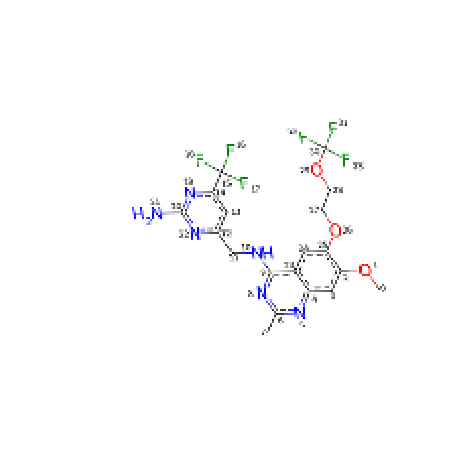 COc1cc2nc(C)nc(NCc3cc(C(F)(F)F)nc(N)n3)c2cc1OCCOC(F)(F)F